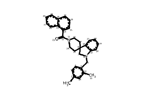 Cc1ccc(CN2CC3(CCN(C(=O)c4cccc5ccccc45)CC3)c3ccccc32)c(C)c1